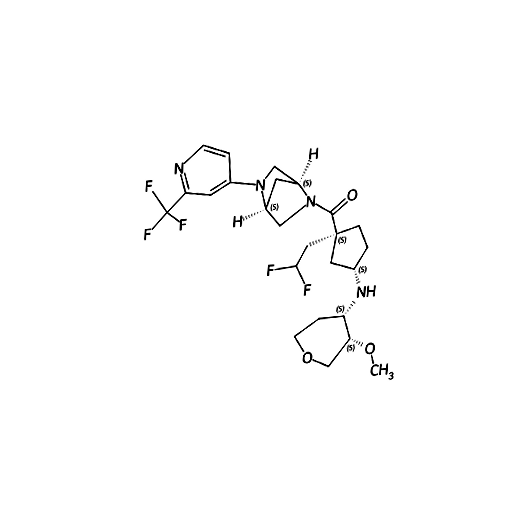 CO[C@@H]1COCC[C@@H]1N[C@H]1CC[C@](CC(F)F)(C(=O)N2C[C@@H]3C[C@H]2CN3c2ccnc(C(F)(F)F)c2)C1